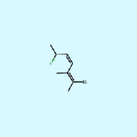 CC/C(C)=C(C)\C=C/C(C)F